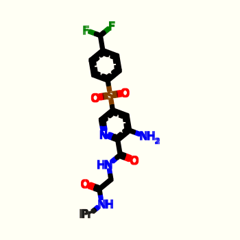 CC(C)NC(=O)CNC(=O)c1ncc(S(=O)(=O)c2ccc(C(F)F)cc2)cc1N